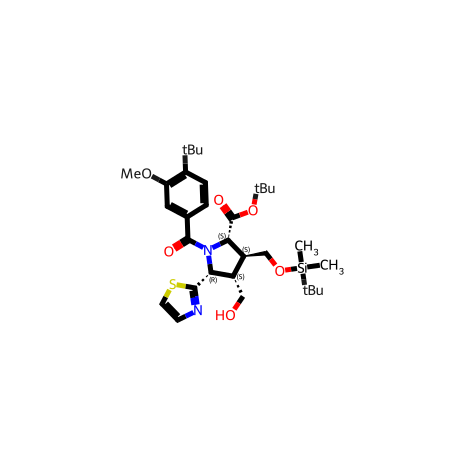 COc1cc(C(=O)N2[C@H](C(=O)OC(C)(C)C)[C@@H](CO[Si](C)(C)C(C)(C)C)[C@H](CO)[C@@H]2c2nccs2)ccc1C(C)(C)C